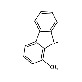 Cc1cccc2c1[nH]c1ccccc12